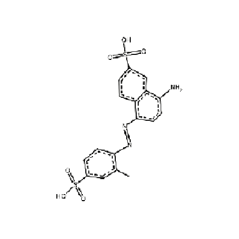 Cc1cc(S(=O)(=O)O)ccc1N=Nc1ccc(N)c2cc(S(=O)(=O)O)ccc12